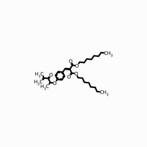 C=C(C)C(=O)C(C)Oc1ccc(C=C(C(=O)OCCCCCCCC)C(=O)OCCCCCCCC)cc1